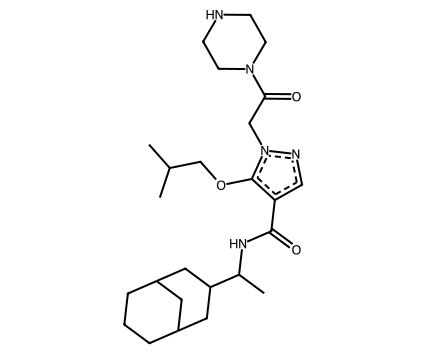 CC(C)COc1c(C(=O)NC(C)C2CC3CCCC(C3)C2)cnn1CC(=O)N1CCNCC1